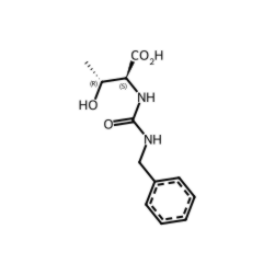 C[C@@H](O)[C@H](NC(=O)NCc1ccccc1)C(=O)O